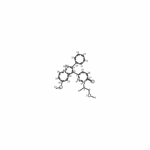 COCC(C)n1nc(-c2c(-c3ccccc3)nn3ccc(OC)cc23)ccc1=O